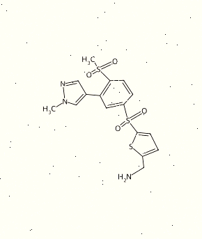 Cn1cc(-c2cc(S(=O)(=O)c3ccc(CN)s3)ccc2S(C)(=O)=O)cn1